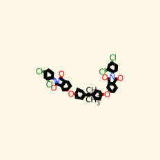 CC(C)(c1ccc(Oc2ccc3c(c2)C(=O)N(c2ccc(Cl)cc2Cl)C3=O)cc1)c1ccc(Oc2ccc3c(c2)C(=O)N(c2ccc(Cl)cc2Cl)C3=O)cc1